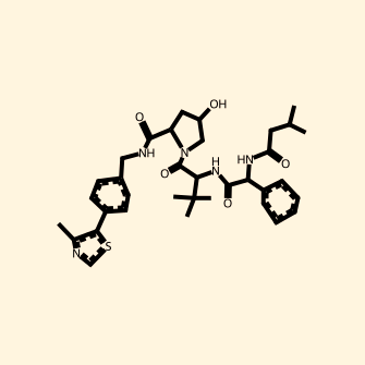 Cc1ncsc1-c1ccc(CNC(=O)C2CC(O)CN2C(=O)C(NC(=O)C(NC(=O)CC(C)C)c2ccccc2)C(C)(C)C)cc1